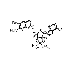 CC1(C)O[C@@H]2[C@H](O1)[C@@H](COc1ccc3cc(Br)c(N)nc3c1)S[C@H]2n1ccc2c(Cl)ncnc21